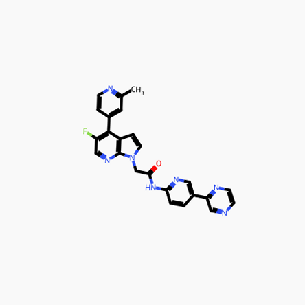 Cc1cc(-c2c(F)cnc3c2ccn3CC(=O)Nc2ccc(-c3cnccn3)cn2)ccn1